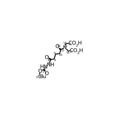 CC(C)(C)OC(=O)NNC(=O)CCCC(=O)N(CC(=O)O)CC(=O)O